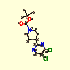 CC(C)(C)OC(=O)N1CCC(c2ncc(Cl)c(Cl)n2)CC1